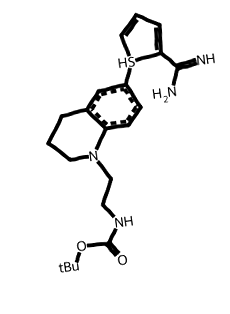 CC(C)(C)OC(=O)NCCN1CCCc2cc([SH]3C=CC=C3C(=N)N)ccc21